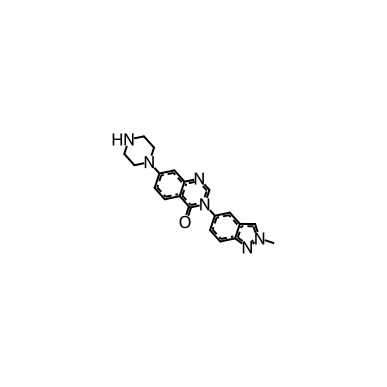 Cn1cc2cc(-n3cnc4cc(N5CCNCC5)ccc4c3=O)ccc2n1